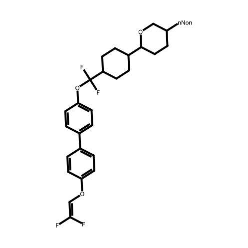 CCCCCCCCCC1CCC(C2CCC(C(F)(F)Oc3ccc(-c4ccc(OC=C(F)F)cc4)cc3)CC2)OC1